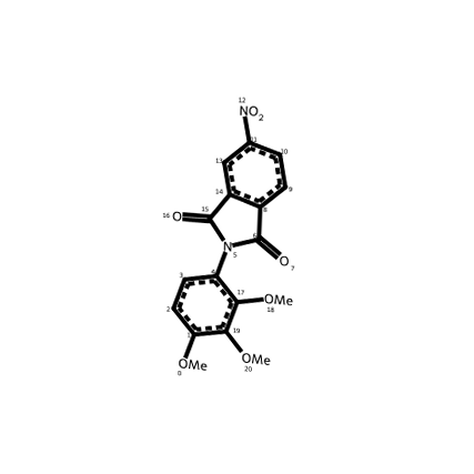 COc1ccc(N2C(=O)c3ccc([N+](=O)[O-])cc3C2=O)c(OC)c1OC